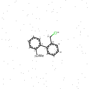 COc1ccccc1-c1ccccc1CCl